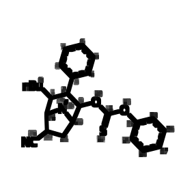 CCCCC1C(c2ccccc2)C(OC(=S)Oc2ccccc2)C2CC(C#N)C1N2C